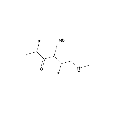 CNCC(F)C(F)C(=O)C(F)F.[Nb]